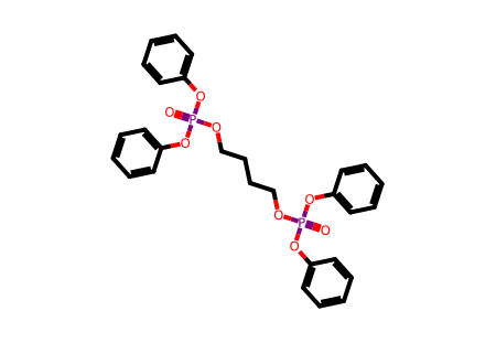 O=P(OCCCCOP(=O)(Oc1ccccc1)Oc1ccccc1)(Oc1ccccc1)Oc1ccccc1